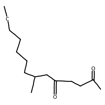 CCCCCCCC(C)CC(=O)CCC(C)=O